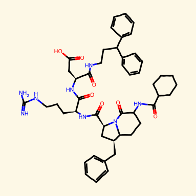 N=C(N)NCCC[C@H](NC(=O)[C@@H]1C[C@H](Cc2ccccc2)C2CCC(NC(=O)C3CCCCC3)C(=O)N21)C(=O)N[C@@H](CC(=O)O)C(=O)NCCC(c1ccccc1)c1ccccc1